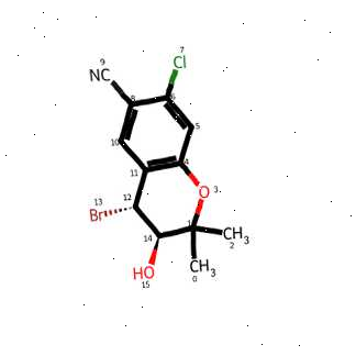 CC1(C)Oc2cc(Cl)c(C#N)cc2[C@@H](Br)[C@@H]1O